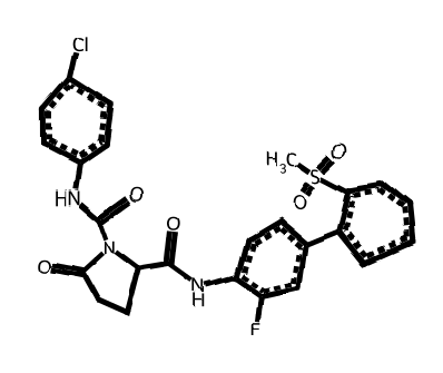 CS(=O)(=O)c1ccccc1-c1ccc(NC(=O)C2CCC(=O)N2C(=O)Nc2ccc(Cl)cc2)c(F)c1